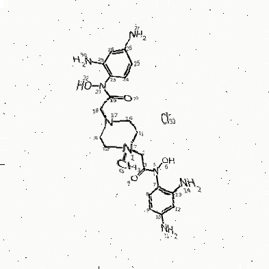 C[N+]1(CC(=O)N(O)c2ccc(N)cc2N)CCN(CC(=O)N(O)c2ccc(N)cc2N)CC1.[Cl-]